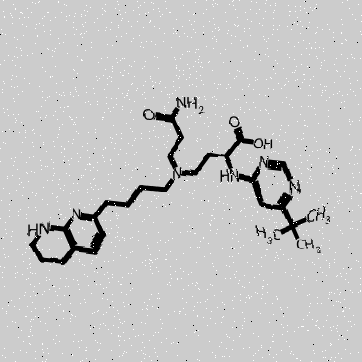 CC(C)(C)c1cc(N[C@@H](CCN(CCCCc2ccc3c(n2)NCCC3)CCC(N)=O)C(=O)O)ncn1